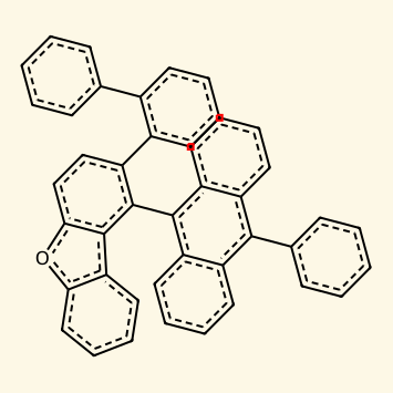 c1ccc(-c2ccccc2-c2ccc3oc4ccccc4c3c2-c2c3ccccc3c(-c3ccccc3)c3ccccc23)cc1